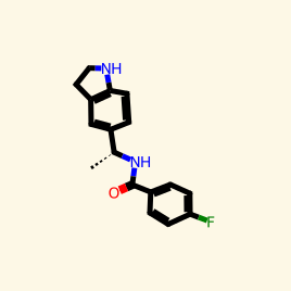 C[C@@H](NC(=O)c1ccc(F)cc1)c1ccc2c(c1)CCN2